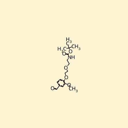 COc1cc(C=O)ccc1OCCOCCNC(=O)OC(C)(C)C